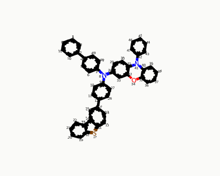 c1ccc(-c2ccc(N(c3ccc(-c4ccc5sc6ccccc6c5c4)cc3)c3ccc4c(c3)Oc3ccccc3N4c3ccccc3)cc2)cc1